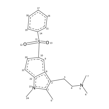 Cc1c(CCN(C)C)c2cc(S(=O)(=O)c3ccccc3)ccc2n1C